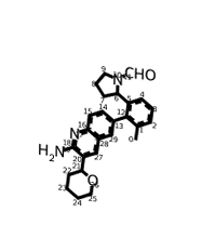 Cc1cccc(C2CCCN2C=O)c1-c1ccc2nc(N)c(C3CCCCO3)cc2c1